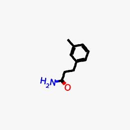 Cc1cccc(CCC(N)=O)c1